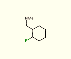 CNCC1CCCCC1F